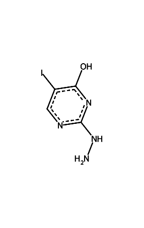 NNc1ncc(I)c(O)n1